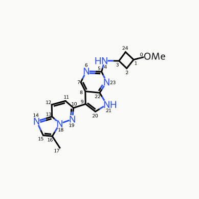 COC1CC(Nc2ncc3c(-c4ccc5ncc(C)n5n4)c[nH]c3n2)C1